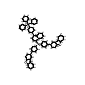 c1ccc(C(c2ccccc2)(c2ccccc2)c2ccc(-c3ccc(N(c4ccc(-c5ccc6oc7ccccc7c6c5)cc4)c4ccc(-c5ccc6oc7ccccc7c6c5)cc4)c4ccccc34)cc2)cc1